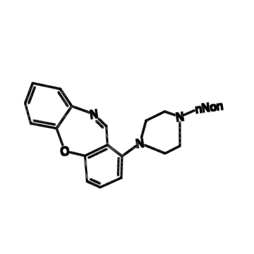 CCCCCCCCCN1CCN(c2cccc3c2C=Nc2ccccc2O3)CC1